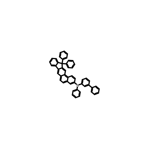 c1ccc(-c2cccc(N(c3ccccc3)c3ccc4c(ccc5cc6c(cc54)C(c4ccccc4)(c4ccccc4)c4ccccc4-6)c3)c2)cc1